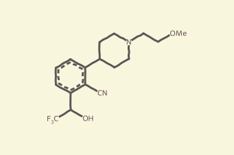 COCCN1CCC(c2cccc(C(O)C(F)(F)F)c2C#N)CC1